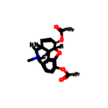 CCCC(=O)Oc1ccc2c3c1O[C@H]1[C@@H](OC(=O)CCC)C=C[C@H]4[C@@H](C2)N(C)CC[C@@]341